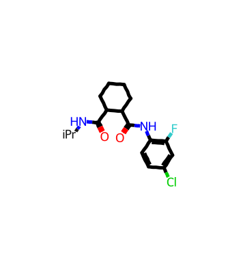 CC(C)NC(=O)C1CCCCC1C(=O)Nc1ccc(Cl)cc1F